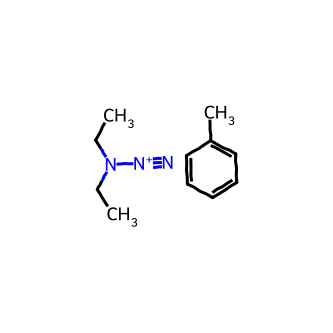 CCN(CC)[N+]#N.Cc1ccccc1